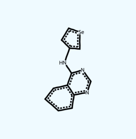 c1ccc2c(Nc3cc[se]c3)ncnc2c1